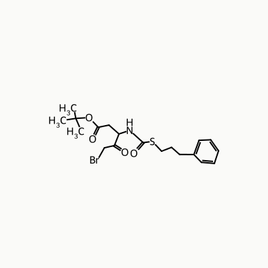 CC(C)(C)OC(=O)CC(NC(=O)SCCCc1ccccc1)C(=O)CBr